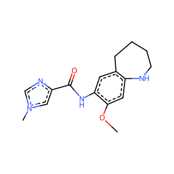 COc1cc2c(cc1NC(=O)c1cn(C)cn1)CCCCN2